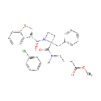 COC(=O)CCCN(Cc1cccc(Cl)c1)C(=O)C1(Cc2ccccc2)CCN1C(=O)c1csc2ccccc12